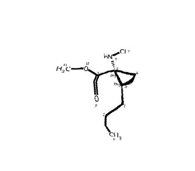 CCC[C@@H]1C[C@]1(NCl)C(=O)OC